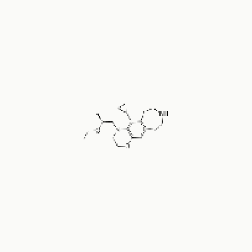 CCO[C@@H](C)CN1CCOc2cc3c(c(C4CC4)c21)CCNCC3